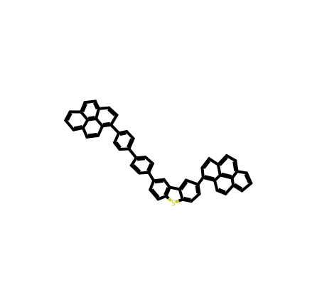 c1cc2ccc3ccc(-c4ccc(-c5ccc(-c6ccc7sc8ccc(-c9ccc%10ccc%11cccc%12ccc9c%10c%11%12)cc8c7c6)cc5)cc4)c4ccc(c1)c2c34